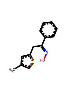 Cc1csc(CC(=NO)c2ccccc2)c1